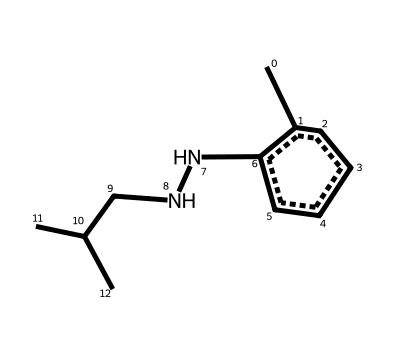 Cc1ccccc1NNCC(C)C